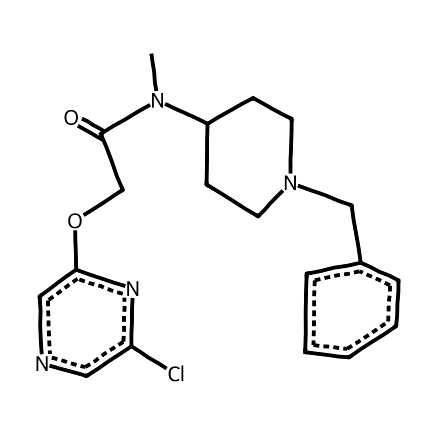 CN(C(=O)COc1cncc(Cl)n1)C1CCN(Cc2ccccc2)CC1